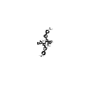 CCOP(=O)(OCC)c1cc(-c2ccc(-c3ccc(C(C)(C)C)cc3)s2)sc1-c1sc(-c2ccc(-c3ccc(C(C)(C)C)cc3)s2)cc1P(=O)(OCC)OCC